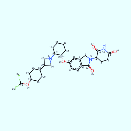 O=C1CCC(N2Cc3cc(O[C@H]4CCCC[C@@H]4N4CC(C5CCC(OC(F)F)CC5)C4)ccc3C2=O)C(=O)N1